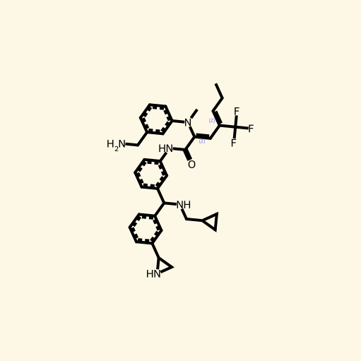 CC/C=C(/C=C(/C(=O)Nc1cccc(C(NCC2CC2)c2cccc(C3CN3)c2)c1)N(C)c1cccc(CN)c1)C(F)(F)F